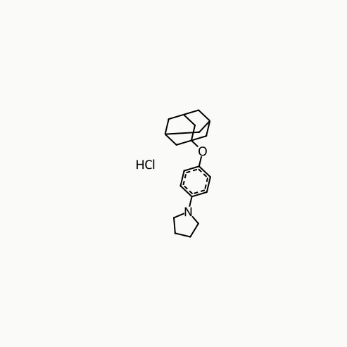 Cl.c1cc(N2CCCC2)ccc1OC12CC3CC(CC(C3)C1)C2